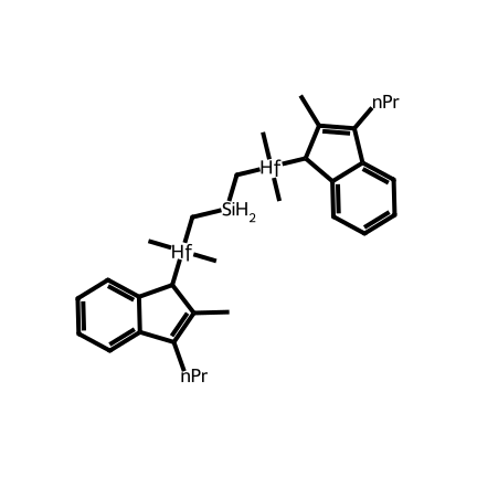 CCCC1=C(C)[CH]([Hf]([CH3])([CH3])[CH2][SiH2][CH2][Hf]([CH3])([CH3])[CH]2C(C)=C(CCC)c3ccccc32)c2ccccc21